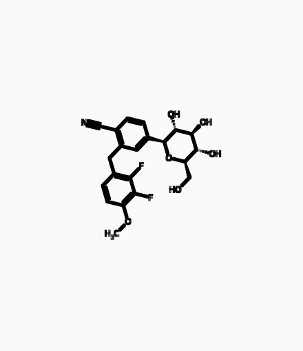 COc1ccc(Cc2cc([C@@H]3O[C@H](CO)[C@@H](O)[C@H](O)[C@H]3O)ccc2C#N)c(F)c1F